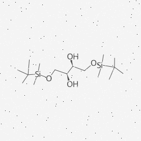 CC(C)(C)[Si](C)(C)OC[C@H](O)[C@@H](O)CO[Si](C)(C)C(C)(C)C